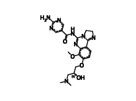 COc1c(OC[C@@H](O)CN(C)C)ccc2c1N=C(NC(=O)c1cnc(N)nc1)N1CCN=C21